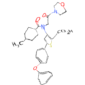 CC1CCC(C(=O)N(CC(=O)N2CCOCC2)c2cc(-c3ccc(Oc4ccccc4)cc3)sc2C(=O)O)CC1